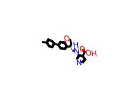 Cc1ccc(-c2ccc3c(c2)OCC[C@@H]3CNc2cnccc2C(=O)O)cc1